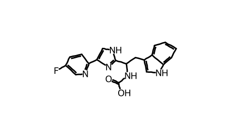 O=C(O)NC(Cc1c[nH]c2ccccc12)c1nc(-c2ccc(F)cn2)c[nH]1